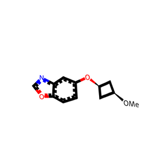 CO[C@H]1C[C@@H](Oc2ccc3ocnc3c2)C1